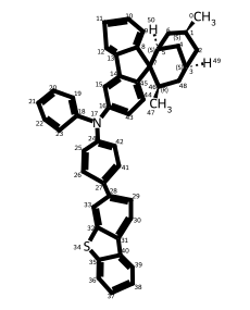 C[C@H]1C[C@@H]2C[C@H](C1)C1(c3ccccc3-c3cc(N(c4ccccc4)c4ccc(-c5ccc6c(c5)sc5ccccc56)cc4)ccc31)[C@H](C)C2